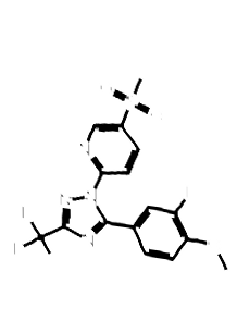 COc1ccc(-c2nc(C(F)(F)F)nn2-c2ccc(S(C)(=O)=O)cn2)cc1F